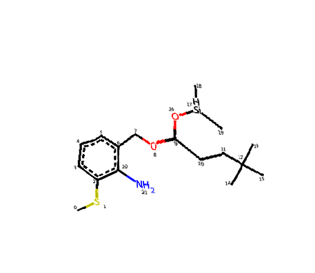 CSc1cccc(COC(CCC(C)(C)C)O[SiH](C)C)c1N